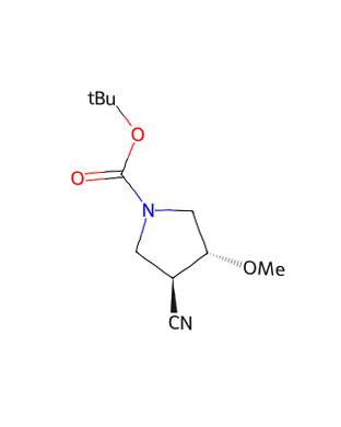 CO[C@H]1CN(C(=O)OC(C)(C)C)C[C@@H]1C#N